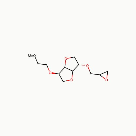 COCCO[C@@H]1COC2C1OC[C@@H]2OCC1CO1